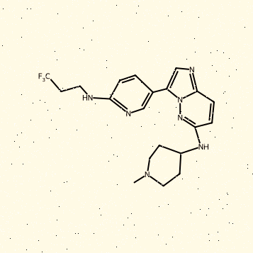 CN1CCC(Nc2ccc3ncc(-c4ccc(NCCC(F)(F)F)nc4)n3n2)CC1